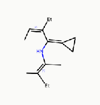 C/C=C(/CC)C(N/C(C)=C(\C)CC)=C1CC1